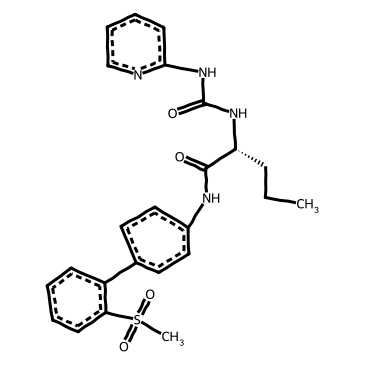 CCC[C@@H](NC(=O)Nc1ccccn1)C(=O)Nc1ccc(-c2ccccc2S(C)(=O)=O)cc1